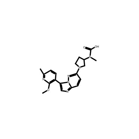 COc1nc(C)ccc1-c1cnc2ccc(N3CCC(N(C)C(=O)O)C3)nn12